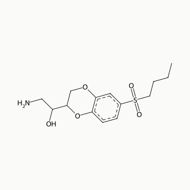 CCCCS(=O)(=O)c1ccc2c(c1)OCC(C(O)CN)O2